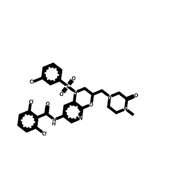 CN1CCN(CC2CN(S(=O)(=O)c3cccc(Cl)c3)c3cc(NC(=O)c4c(Cl)cccc4Cl)cnc3O2)CC1=O